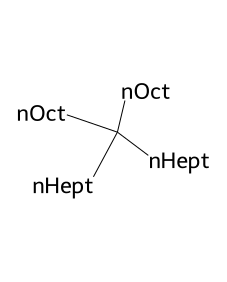 CCCCCCCCC(CCCCCCC)(CCCCCCC)CCCCCCCC